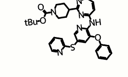 CC(C)(C)OC(=O)N1CCC(C2=NCC=CC(Nc3ncc(Sc4ccccn4)cc3Oc3ccccc3)=N2)CC1